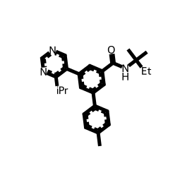 CCC(C)(C)NC(=O)c1cc(-c2ccc(C)cc2)cc(-c2cncnc2C(C)C)c1